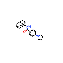 O=C(NC1C2CC3CC(C2)CC1C3)c1ccc(N2CCCC2)cc1